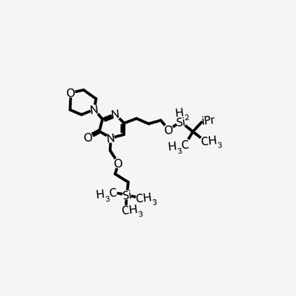 CC(C)C(C)(C)[SiH2]OCCCc1cn(COCC[Si](C)(C)C)c(=O)c(N2CCOCC2)n1